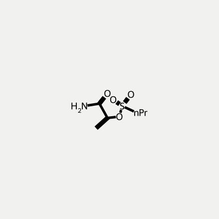 C=C(OS(=O)(=O)CCC)C(N)=O